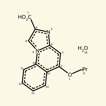 CC(C)Oc1cc2nc(C(=O)O)cn2c2ccccc12.O